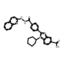 O=C(O)c1ccc2c(c1)nc(-c1ccc(C(=O)NNc3ccc4ccccc4n3)cc1)n2C1CCCCC1